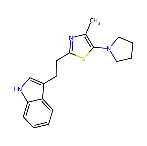 Cc1nc(CCc2c[nH]c3ccccc23)sc1N1CCCC1